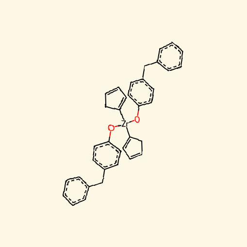 C1=CC[C]([Zr]([O]c2ccc(Cc3ccccc3)cc2)([O]c2ccc(Cc3ccccc3)cc2)[C]2=CC=CC2)=C1